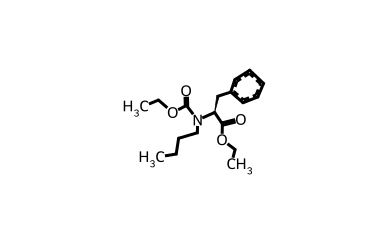 CCCCN(C(=O)OCC)[C@@H](Cc1ccccc1)C(=O)OCC